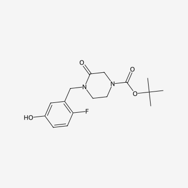 CC(C)(C)OC(=O)N1CCN(Cc2cc(O)ccc2F)C(=O)C1